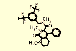 CN(Cc1cc(C(F)(F)F)cc(C(F)(F)F)c1)C(=O)c1c(-c2ccccc2)c2c(c(=O)n1C)N(C)CCC2